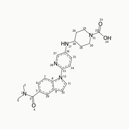 CN(C)C(=O)c1ccc2c(ccn2-c2ccc(NC3CCN(C(=O)O)CC3)cn2)c1